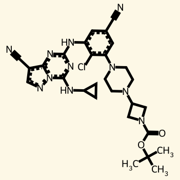 CC(C)(C)OC(=O)N1CC(N2CCN(c3cc(C#N)cc(Nc4nc(NC5CC5)n5ncc(C#N)c5n4)c3Cl)CC2)C1